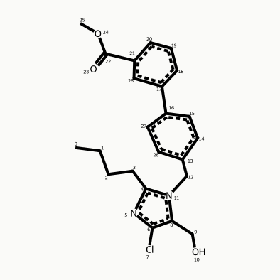 CCCCc1nc(Cl)c(CO)n1Cc1ccc(-c2cccc(C(=O)OC)c2)cc1